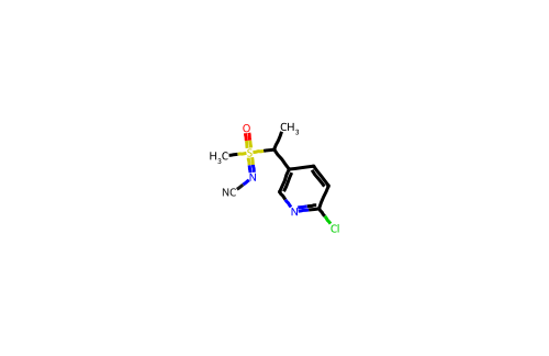 CC(c1ccc(Cl)nc1)S(C)(=O)=NC#N